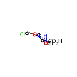 CCC(CC)(CC(=O)Nc1cccc(/C=C/c2cccc(COCCCCc3ccc(Cl)cc3)n2)c1)C(=O)O